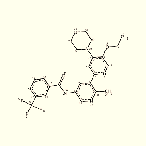 CCOc1nnc(-c2cc(NC(=O)c3cccc(C(F)(F)F)c3)cnc2C)cc1N1CCOCC1